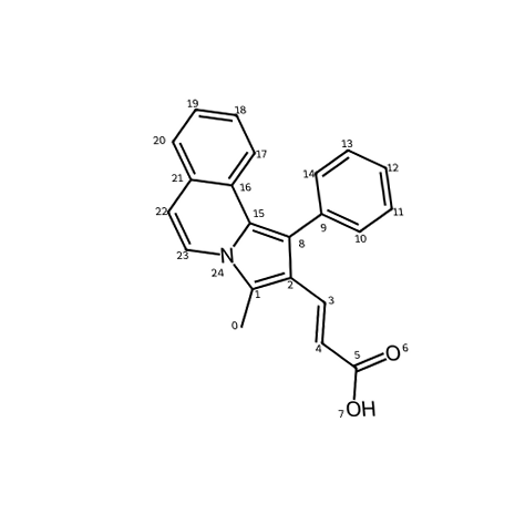 Cc1c(C=CC(=O)O)c(-c2ccccc2)c2c3ccccc3ccn12